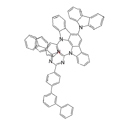 c1ccc(-c2cccc(-c3ccc(-c4nc(-c5ccccc5)nc(-n5c6ccccc6c6cc(-n7c8ccccc8c8ccccc87)c7c8ccccc8n(-c8cccc(-c9ccccc9)c8)c7c65)n4)cc3)c2)cc1